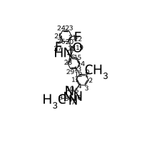 Cc1ccc(-c2nnn(C)n2)cc1-c1ccc(NC(=O)c2c(F)cccc2F)cc1